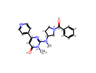 CCN(c1nc(-c2ccncc2)cc(=O)n1C)C1CCN(C(=O)c2ccccc2)C1